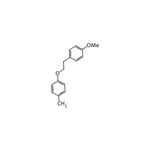 [CH2]c1ccc(OCCc2ccc(OC)cc2)cc1